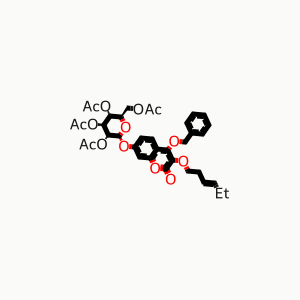 CCC=CCCOc1c(OCc2ccccc2)c2ccc(O[C@@H]3O[C@H](COC(C)=O)[C@@H](OC(C)=O)[C@H](OC(C)=O)[C@H]3OC(C)=O)cc2oc1=O